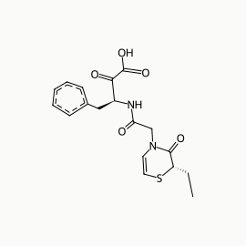 CC[C@@H]1SC=CN(CC(=O)N[C@@H](Cc2ccccc2)C(=O)C(=O)O)C1=O